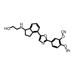 CC(C)Oc1ccc(-c2ncc(-c3cccc4c3CCC4NCCO)o2)cc1OC#N